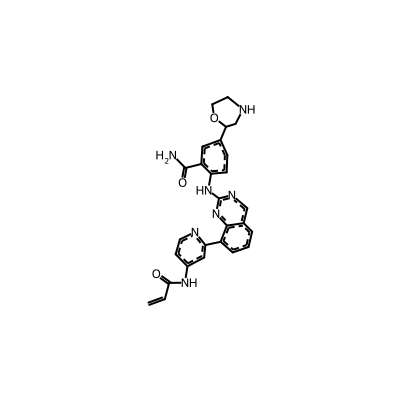 C=CC(=O)Nc1ccnc(-c2cccc3cnc(Nc4ccc(C5CNCCO5)cc4C(N)=O)nc23)c1